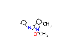 CC(=O)N1Cc2c(C)cccc2C2CN(Cc3ccccc3)CC21